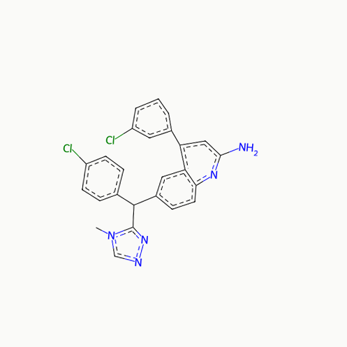 Cn1cnnc1C(c1ccc(Cl)cc1)c1ccc2nc(N)cc(-c3cccc(Cl)c3)c2c1